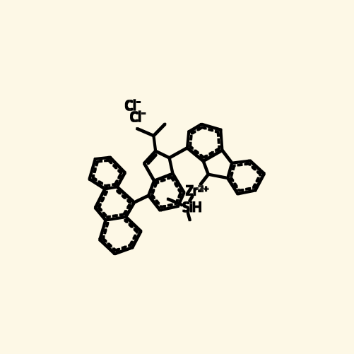 CC(C)C1=Cc2c(-c3c4ccccc4cc4ccccc34)cccc2C1c1cccc2c1[CH]([Zr+2][SiH](C)C)c1ccccc1-2.[Cl-].[Cl-]